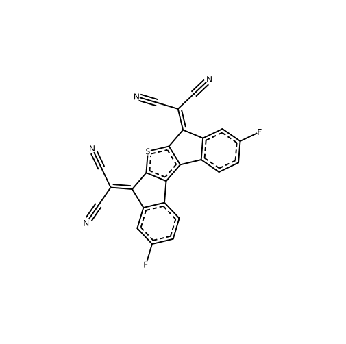 N#CC(C#N)=C1c2cc(F)ccc2-c2c1sc1c2-c2ccc(F)cc2C1=C(C#N)C#N